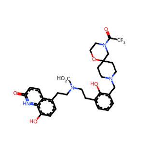 O=C(O)N(CCc1cccc(CN2CCC3(CC2)CN(C(=O)C(F)(F)F)CCO3)c1O)CCc1ccc(O)c2[nH]c(=O)ccc12